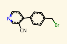 N#Cc1cnccc1-c1ccc(CBr)cc1